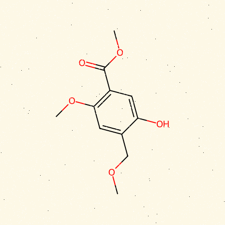 COCc1cc(OC)c(C(=O)OC)cc1O